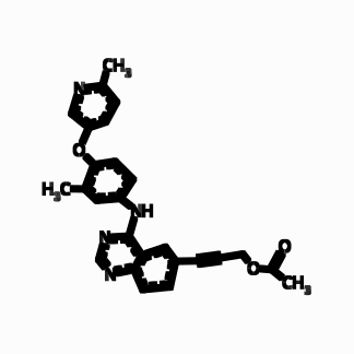 CC(=O)OCC#Cc1ccc2ncnc(Nc3ccc(Oc4ccc(C)nc4)c(C)c3)c2c1